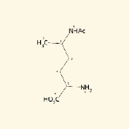 CC(=O)NC(C)CCC(N)C(=O)O